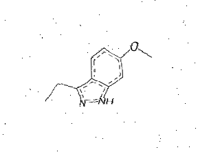 CCc1n[nH]c2cc(OC)ccc12